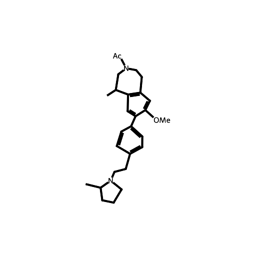 COc1cc2c(cc1-c1ccc(CCN3CCCC3C)cc1)C(C)CN(C(C)=O)CC2